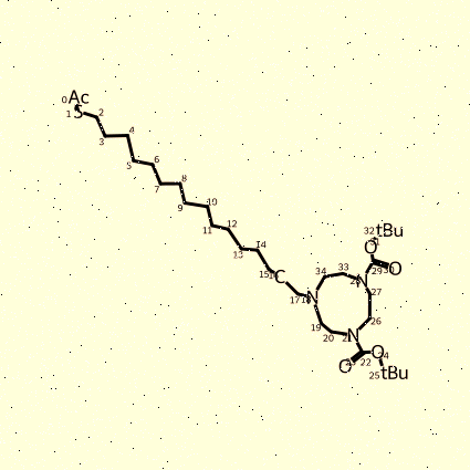 CC(=O)SCCCCCCCCCCCCCCCCN1CCN(C(=O)OC(C)(C)C)CCN(C(=O)OC(C)(C)C)CC1